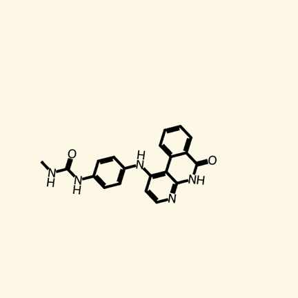 CNC(=O)Nc1ccc(Nc2ccnc3[nH]c(=O)c4ccccc4c23)cc1